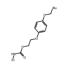 CCNC(=O)OCCOc1ccc(OCC(C)CC)cc1